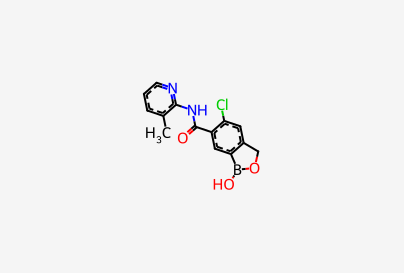 Cc1cccnc1NC(=O)c1cc2c(cc1Cl)COB2O